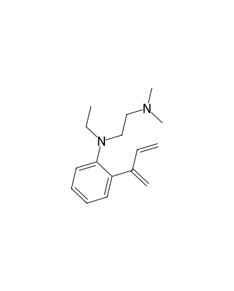 C=CC(=C)c1ccccc1N(CC)CCN(C)C